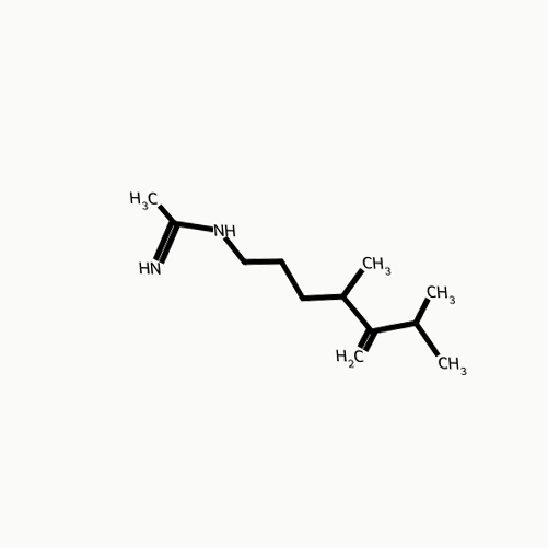 C=C(C(C)C)C(C)CCCNC(C)=N